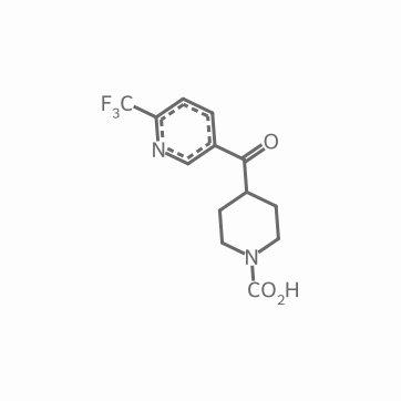 O=C(c1ccc(C(F)(F)F)nc1)C1CCN(C(=O)O)CC1